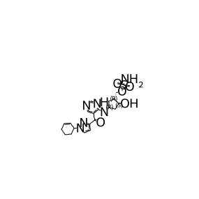 NS(=O)(=O)OC[C@H]1C[C@@H](Nc2ncncc2C(=O)c2ccn(C3C=CCCC3)n2)C[C@@H]1O